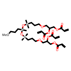 C=CC(=O)OCC(COCCC[Si](C)(C)O[Si](C)(CCCOC)O[Si](C)(C)CCCOCC(COC(=O)C=C)OC(=O)C=C)OC(=O)C=C